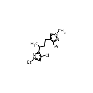 CCn1cc(Cl)c(C(C)CCc2cn(C)nc2C(C)C)n1